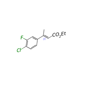 CCOC(=O)/C=C(\C)c1ccc(Cl)c(F)c1